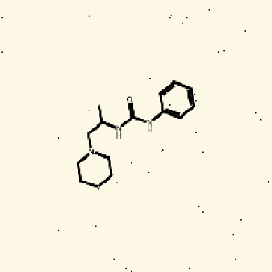 CC(CN1CC[CH]CC1)NC(=O)Nc1ccccc1